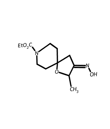 CCOC(=O)N1CCC2(CC1)C/C(=N/O)C(C)O2